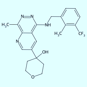 Cc1c(CNc2nnc(C)c3ncc(C4(O)CCOCC4)cc23)cccc1C(F)(F)F